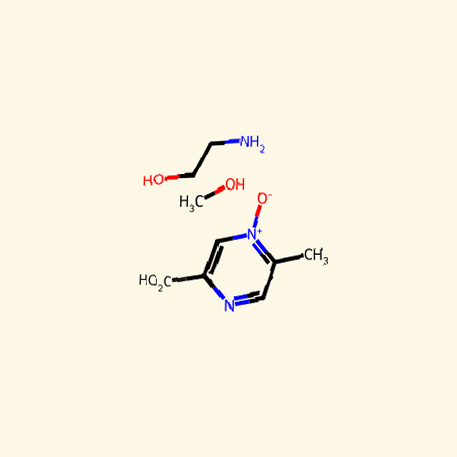 CO.Cc1cnc(C(=O)O)c[n+]1[O-].NCCO